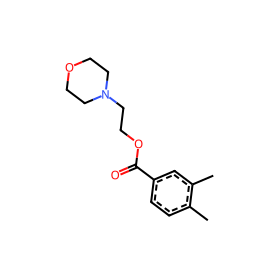 Cc1ccc(C(=O)OCCN2CCOCC2)cc1C